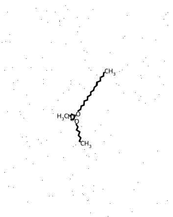 CCCCCC=CCCCCCCCCCCCO[C@@H]1CN(C)C[C@H]1OCCCCCCCC